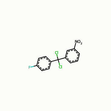 O=[N+]([O-])c1cccc(C(Cl)(Cl)c2ccc(F)cc2)c1